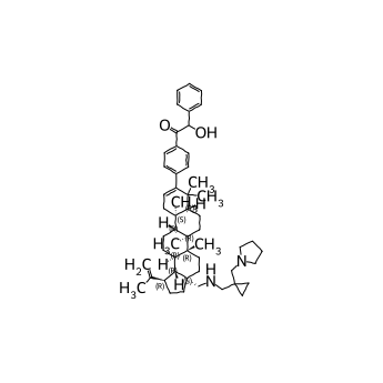 C=C(C)[C@@H]1CC[C@]2(CNCC3(CN4CCCC4)CC3)CC[C@]3(C)[C@H](CC[C@@H]4[C@@]5(C)CC=C(c6ccc(C(=O)C(O)c7ccccc7)cc6)C(C)(C)[C@@H]5CC[C@]43C)[C@@H]12